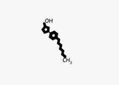 CCCCCCCCc1ccc([C@H]2CCC(CO)C2)cc1